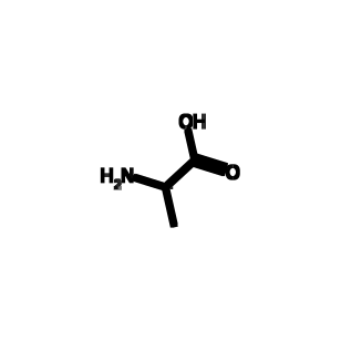 C[C](N)C(=O)O